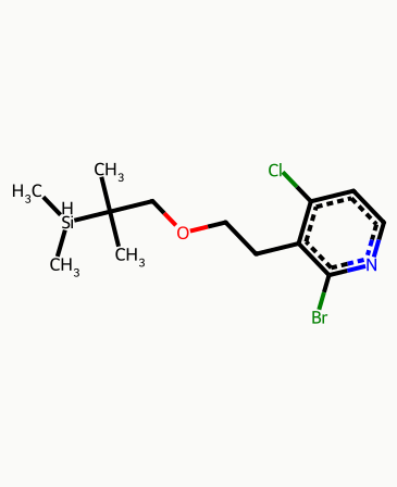 C[SiH](C)C(C)(C)COCCc1c(Cl)ccnc1Br